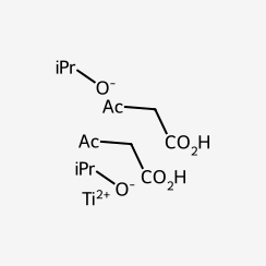 CC(=O)CC(=O)O.CC(=O)CC(=O)O.CC(C)[O-].CC(C)[O-].[Ti+2]